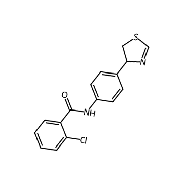 O=C(Nc1ccc(C2CSC=N2)cc1)c1ccccc1Cl